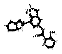 Nc1nccnc1C(=O)Nc1cc(-c2cc3ccccc3s2)c2[nH]ncc2c1